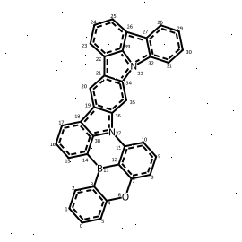 c1ccc2c(c1)Oc1cccc3c1B2c1cccc2c4cc5c6cccc7c8ccccc8n(c5cc4n-3c12)c76